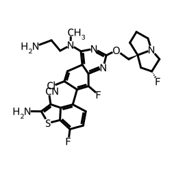 CN(CCN)c1nc(OC[C@@]23CCCN2C[C@H](F)C3)nc2c(F)c(-c3ccc(F)c4sc(N)c(C#N)c34)c(Cl)cc12